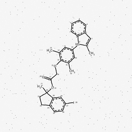 CC1=Cc2ccccc2[SH]1c1cc(C)c(OCC(=O)OC2(C)CCc3ccc(I)cc32)c(C)c1